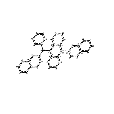 c1ccc(N(c2ccc3ccccc3c2)c2c3ccccc3c(-c3ccc4ccccc4c3)c3ccccc23)cc1